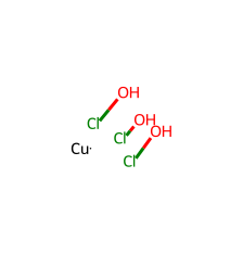 OCl.OCl.OCl.[Cu]